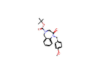 COc1ccc(CN2C(=O)CN(C(=O)OC(C)(C)C)Cc3ccccc32)cc1